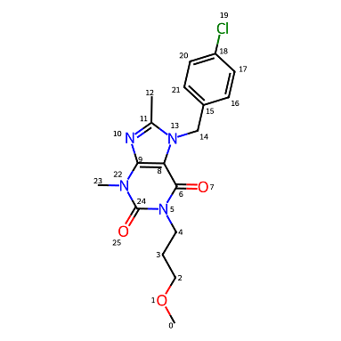 COCCCn1c(=O)c2c(nc(C)n2Cc2ccc(Cl)cc2)n(C)c1=O